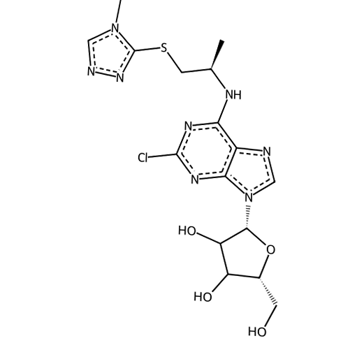 C[C@H](CSc1nncn1C)Nc1nc(Cl)nc2c1ncn2[C@@H]1O[C@H](CO)C(O)C1O